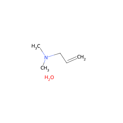 C=CCN(C)C.O